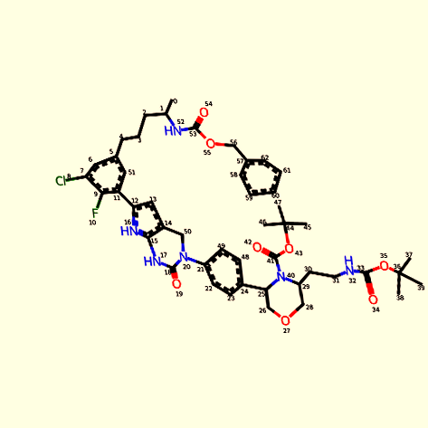 CC(CCCc1cc(Cl)c(F)c(-c2cc3c([nH]2)NC(=O)N(c2ccc(C4COCC(CCNC(=O)OC(C)(C)C)N4C(=O)OC(C)(C)C)cc2)C3)c1)NC(=O)OCc1ccccc1